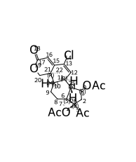 CC(=O)O[C@@H]1C[C@](OC(C)=O)(C(C)=O)[C@@]2(C)CC[C@H]3[C@@H](C=C(Cl)C4=CC(=O)OC[C@@]43C)[C@H]12